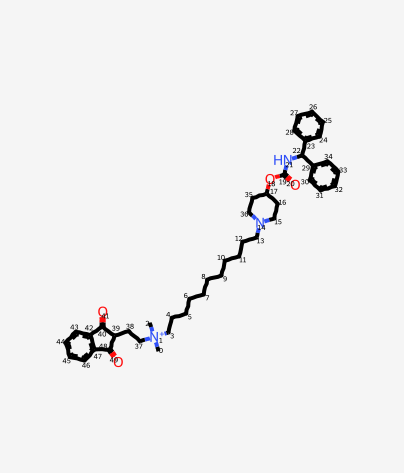 C[N+](C)(CCCCCCCCCCCN1CCC(OC(=O)NC(c2ccccc2)c2ccccc2)CC1)CCC1C(=O)c2ccccc2C1=O